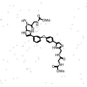 CCCN(CC1NC=C(c2cccc(Oc3ccc(-c4cnc(CNC(=O)CNC(=O)OC)[nH]4)cc3)c2)N1)C(=O)CNC(=O)OC